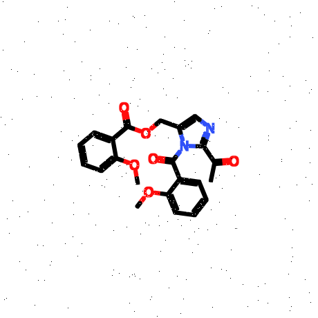 COc1ccccc1C(=O)OCc1cnc(C(C)=O)n1C(=O)c1ccccc1OC